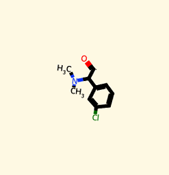 CN(C)C([C]=O)c1cccc(Cl)c1